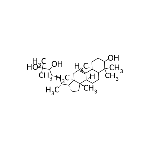 C[C@H](CCC(O)C(C)(C)O)[C@H]1CC[C@@]2(C)[C@@H]3CCC4C(C)(C)C(O)CC[C@]4(C)C3=CC[C@]12C